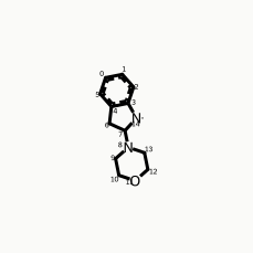 c1ccc2c(c1)CC(N1CCOCC1)[N]2